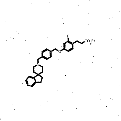 CCOC(=O)CCc1ccc(OCc2ccc(CN3CCC4(CCc5ccccc54)CC3)cc2)cc1F